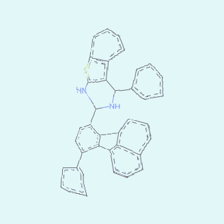 c1ccc(-c2ccc(C3Nc4sc5ccccc5c4C(c4ccccc4)N3)c3c2-c2cccc4cccc-3c24)cc1